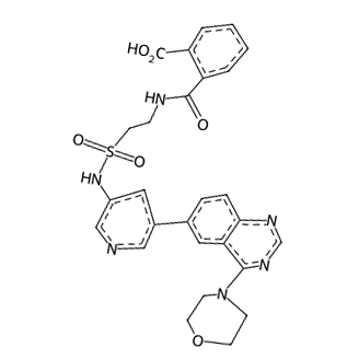 O=C(O)c1ccccc1C(=O)NCCS(=O)(=O)Nc1cncc(-c2ccc3ncnc(N4CCOCC4)c3c2)c1